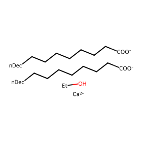 CCCCCCCCCCCCCCCCCC(=O)[O-].CCCCCCCCCCCCCCCCCC(=O)[O-].CCO.[Ca+2]